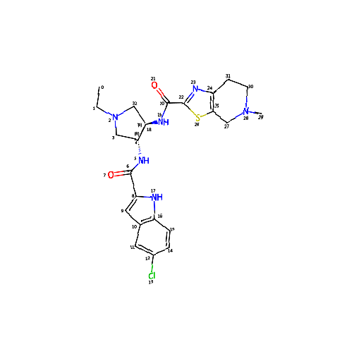 CCN1C[C@@H](NC(=O)c2cc3cc(Cl)ccc3[nH]2)[C@H](NC(=O)c2nc3c(s2)CN(C)CC3)C1